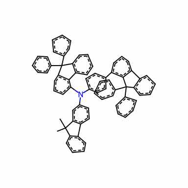 CC1(C)c2ccccc2-c2ccc(N(c3ccc(-c4cccc5c4C(c4ccccc4)(c4ccccc4)c4ccccc4-5)cc3)c3cccc4c3-c3ccccc3C4(c3ccccc3)c3ccccc3)cc21